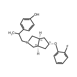 CC(CN1C[C@H]2C[C@H](Oc3ccccc3F)C[C@H]2C1)c1ccc(O)cc1